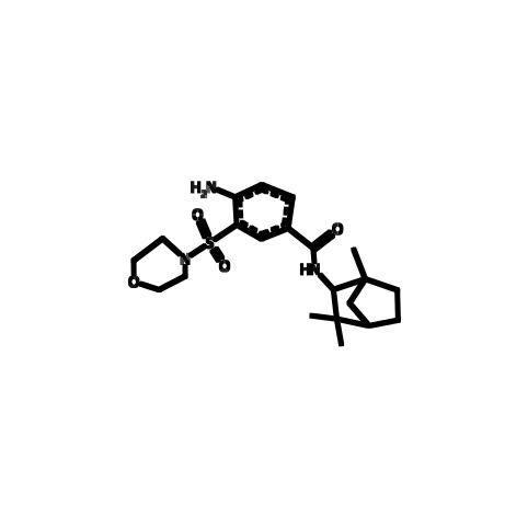 CC12CCC(C1)C(C)(C)C2NC(=O)c1ccc(N)c(S(=O)(=O)N2CCOCC2)c1